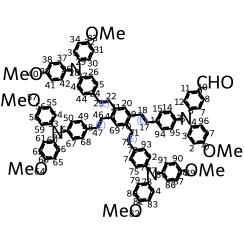 COc1ccc(N(c2ccc(C=O)cc2)c2ccc(/C=C/c3cc(/C=C/c4ccc(N(c5ccc(OC)cc5)c5ccc(OC)cc5)cc4)c(/C=C/c4ccc(N(c5ccc(OC)cc5)c5ccc(OC)cc5)cc4)cc3/C=C/c3ccc(N(c4ccc(OC)cc4)c4ccc(OC)cc4)cc3)cc2)cc1